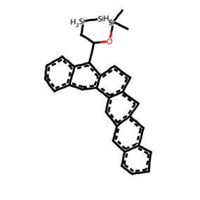 C[Si]1(C)OC(c2c3ccccc3cc3c2ccc2cc4cc5ccccc5cc4cc23)C[SiH2][SiH2]1